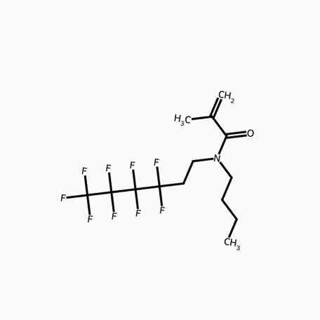 C=C(C)C(=O)N(CCCC)CCC(F)(F)C(F)(F)C(F)(F)C(F)(F)F